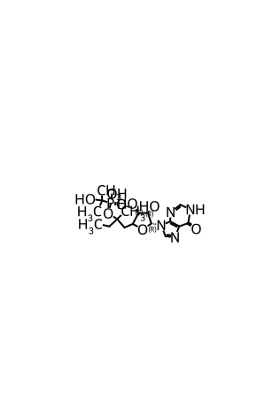 CCC(C)(CC1O[C@@H](n2cnc3c(=O)[nH]cnc32)[C@H](O)[C@@H]1O)OP(=O)(O)C(C)(C)O